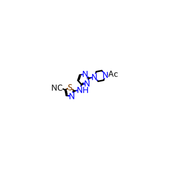 CC(=O)N1CCN(c2nccc(Nc3ncc(C#N)s3)n2)CC1